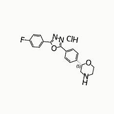 Cl.Fc1ccc(-c2nnc(-c3ccc([C@H]4CNCCO4)cc3)o2)cc1